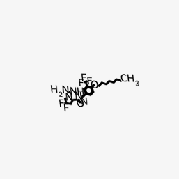 CCCCCCCCOc1ccc(-c2noc(C3CC(F)(F)CN3C(=N)N)n2)cc1C(F)(F)F